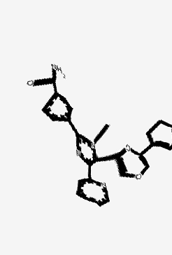 Cn1c(-c2ccc(C(N)=O)cc2)nc(-c2ccccn2)c1C1=COC=C(C2=CC=CCC2)O1